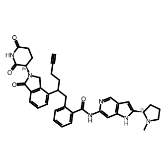 C#CCCC(Cc1ccccc1C(=O)Nc1cc2[nH]c([C@H]3CCCN3C)cc2cn1)c1cccc2c1CN([C@@H]1CCC(=O)NC1=O)C2=O